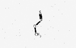 COP=S